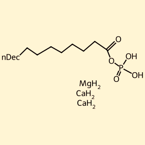 CCCCCCCCCCCCCCCCCC(=O)OP(=O)(O)O.[CaH2].[CaH2].[MgH2]